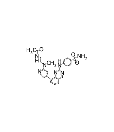 CC(=O)NCCN(C)c1cc(-c2cccc3cnc(Nc4ccc(S(N)(=O)=O)cc4)nc23)ccn1